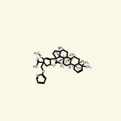 C=C(C)[C@@]1(C2=CC(CC)C(COc3ccccn3)(C(=O)O)CC2)CC[C@@]2(N)CC[C@]3(C)[C@H](CC[C@@H]4[C@@]5(C)CC=CC(C)(C)[C@H]5CC[C@]43C)[C@@H]21